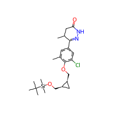 Cc1cc(C2=NNC(=O)CC2C)cc(Cl)c1OC[C@H]1C[C@H]1CO[Si](C)(C)C(C)(C)C